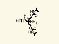 CC(C)NC(=O)OCCC(N)(CN)CCOC(=O)NC(C)C.Cl.Cl